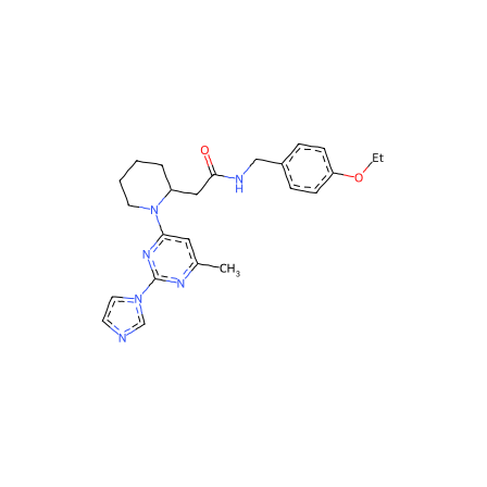 CCOc1ccc(CNC(=O)CC2CCCCN2c2cc(C)nc(-n3ccnc3)n2)cc1